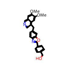 COc1cc2cncc(Cc3ccc4nc(-c5ccc(CO)cc5)oc4c3)c2cc1OC